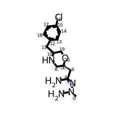 CN(N)/N=C(\N)C[C@H]1CNC(Cc2ccc(Cl)cc2)CO1